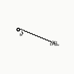 CC[Si](CC)(OCCCCCCCCCCCCCCCCCCCCCCP(CCBr)Cc1ccccc1)C(C)(C)C